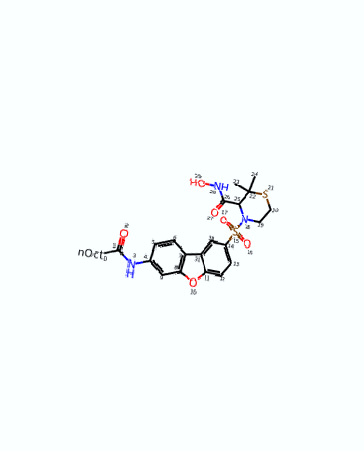 CCCCCCCCC(=O)Nc1ccc2c(c1)oc1ccc(S(=O)(=O)N3CCSC(C)(C)C3C(=O)NO)cc12